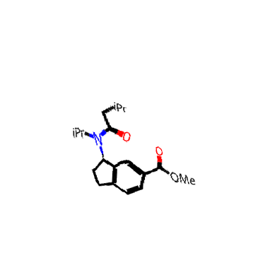 COC(=O)c1ccc2c(c1)[C@H](N(C(=O)CC(C)C)C(C)C)CC2